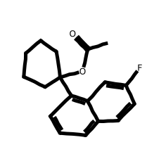 CC(=O)OC1(c2cccc3ccc(F)cc23)CCCCC1